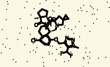 CNC(=O)[C@@]1(C)CCC[C@H]1C(=O)N1CCc2c(Cl)ccc(OCc3nnn(C)c3C(F)F)c2[C@H]1CN1CC2(CC2)CC1=O